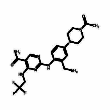 CC(=O)N1CCN(c2ccc(Nc3ncc(C(N)=O)c(NCC(F)(F)F)n3)c(CN)c2)CC1